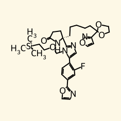 C[Si](C)(C)CCOCn1c(-c2ccc(-c3ncco3)cc2F)cnc1[C@]1(CCCCCC2(c3ccon3)OCCO2)CCC(=O)N1